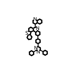 c1ccc(-c2cc(-c3ccc(-c4ccc5nc(-c6ccnc7ccccc67)c6ccc7sc8ccccc8c7c6c5c4)cc3)nc(-c3ccccc3)n2)cc1